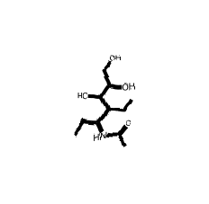 CCC(NC(C)=O)C(CC)C(O)C(O)CO